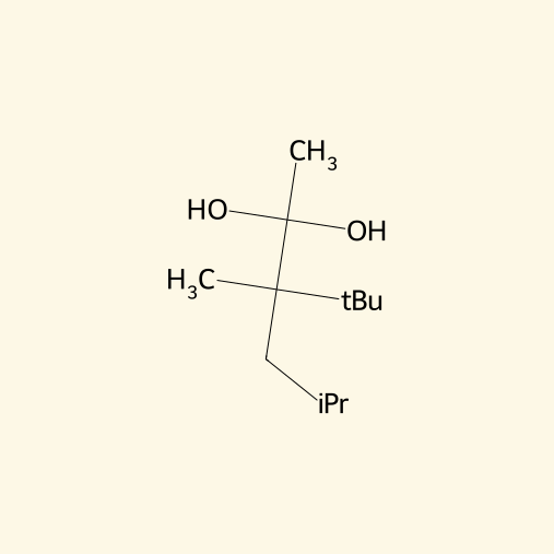 CC(C)CC(C)(C(C)(C)C)C(C)(O)O